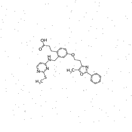 CSc1nccc(NCc2cc(OCCc3nc(-c4ccccc4)oc3C)ccc2CCC(=O)O)n1